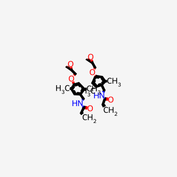 C=CC(=O)NCc1c(C)cc(OCC2CO2)cc1C.C=CC(=O)NCc1cc(C)c(OCC2CO2)cc1C